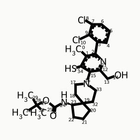 Cc1c(-c2cccc(Cl)c2Cl)nc(CO)c(N2CCC3(CCC[C@H]3NC(=O)OC(C)(C)C)CC2)c1S